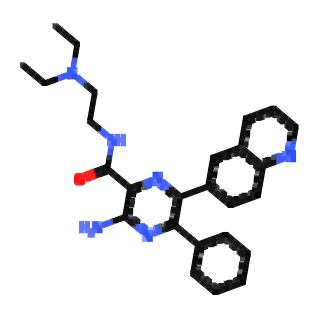 CCN(CC)CCNC(=O)c1nc(-c2ccc3ncccc3c2)c(-c2ccccc2)nc1N